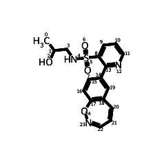 CC(O)CNS(=O)(=O)c1cccnc1-c1ccc2c(c1)C=CC=NO2